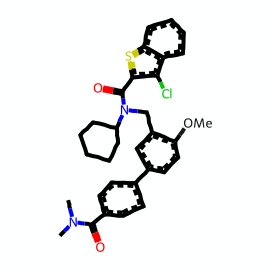 COc1ccc(-c2ccc(C(=O)N(C)C)cc2)cc1CN(C(=O)c1sc2ccccc2c1Cl)C1CCCCC1